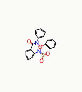 O=C(c1ccccc1N=S(=O)=O)N(Oc1ccccc1)c1ccccc1